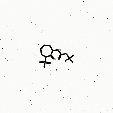 CC(C)(C)OC(=O)N[C@@H]1CCCCN(S(C)(=O)=O)C1=O